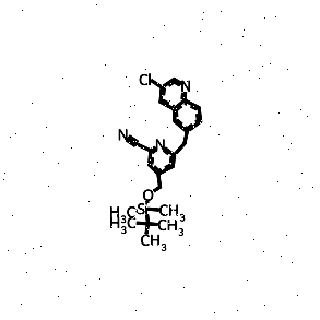 CC(C)(C)[Si](C)(C)OCc1cc(C#N)nc(Cc2ccc3ncc(Cl)cc3c2)c1